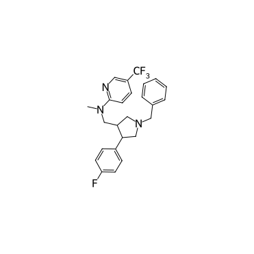 CN(CC1CN(Cc2ccccc2)CC1c1ccc(F)cc1)c1ccc(C(F)(F)F)cn1